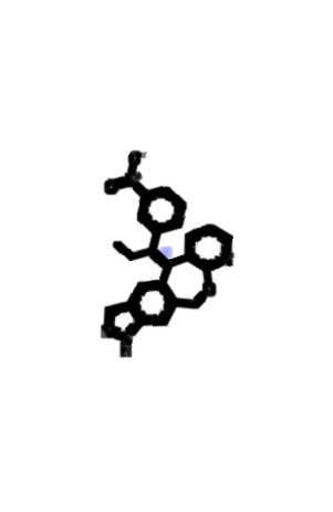 CC/C(=C1\c2cc3cn[nH]c3cc2COc2ncccc21)c1cccc([N+](=O)[O-])c1